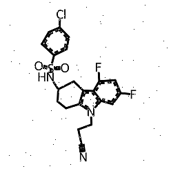 N#CCCn1c2c(c3c(F)cc(F)cc31)CC(NS(=O)(=O)c1ccc(Cl)cc1)CC2